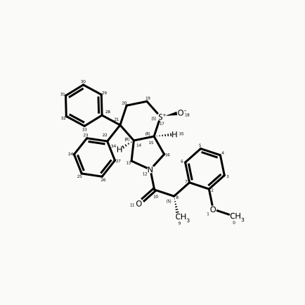 COc1ccccc1[C@H](C)C(=O)N1C[C@@H]2[C@H](C1)[S@+]([O-])CCC2(c1ccccc1)c1ccccc1